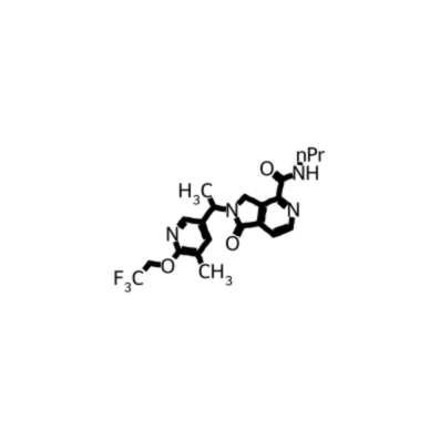 CCCNC(=O)c1nccc2c1CN(C(C)c1cnc(OCC(F)(F)F)c(C)c1)C2=O